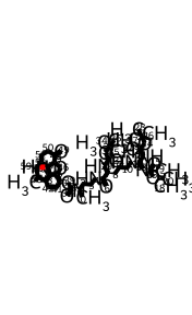 CN(CCNC(=O)[C@H](CCCNC(=NC(=O)OC(C)(C)C)NC(=O)OC(C)(C)C)NC(=O)OC(C)(C)C)C(=O)Oc1ccc2c3c1OC1C(=O)CCC4[C@@H](C2)N(C)C[C@]314